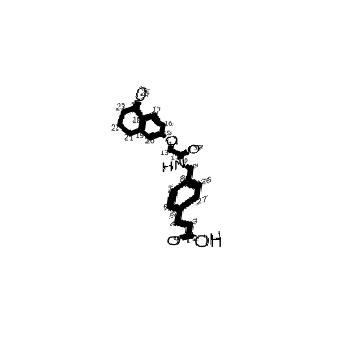 O=C(O)/C=C/c1ccc(CNC(=O)COc2ccc3c(c2)CCCC3=O)cc1